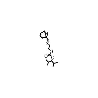 CC(C)C(OC(=O)OCCSSc1ccccn1)C(C)C